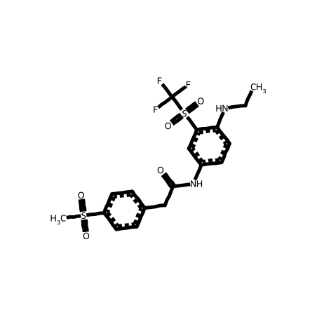 CCNc1ccc(NC(=O)Cc2ccc(S(C)(=O)=O)cc2)cc1S(=O)(=O)C(F)(F)F